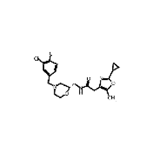 Cc1oc(C2CC2)nc1CC(=O)NC[C@H]1CN(Cc2ccc(Cl)c(Cl)c2)CCO1